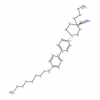 CCCCCCCCOc1ccc(-c2ccc([C@H]3CC[C@@](C#N)(CCCC)CC3)cc2)cc1